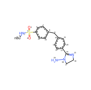 CCCCNS(=O)(=O)c1ccc(Cc2ccc(C3=NCCN3N)cc2)cc1